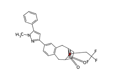 Cn1nc(-c2ccc3c(c2)CC2CCC(C3)C23CN(CC(F)(F)F)S(=O)(=O)N3)cc1-c1ccccc1